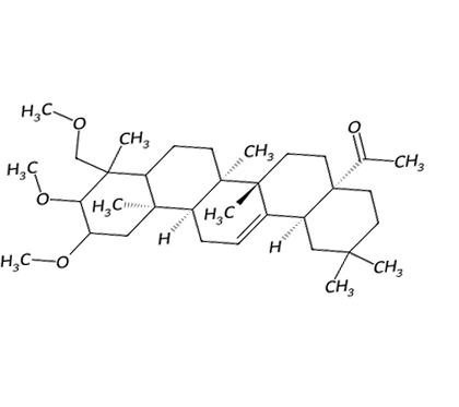 COCC1(C)C(OC)C(OC)C[C@@]2(C)C1CC[C@]1(C)[C@H]2CC=C2[C@@H]3CC(C)(C)CC[C@]3(C(C)=O)CC[C@]21C